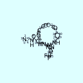 C[N+](C)(C)CCNC(=O)c1ccc2cc1OCCCCCCCCOc1ccc(cc1)CNc1nc(nc(OCC(F)(F)F)n1)N2